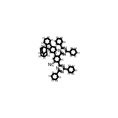 N#Cc1cc(-c2ccc3c(c2)C2(c4ccccc4-3)C3CC4CC(C3)CC2C4)c(-c2nc(-c3ccccc3)nc(-c3ccccc3)n2)cc1-c1nc(-c2ccccc2)nc(-c2ccccc2)n1